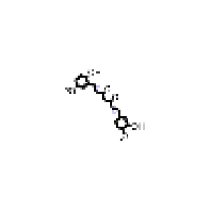 COc1ccc(O)c(/C=C/C(=O)CC(=O)/C=C/c2ccc(OC)c(O)c2)c1